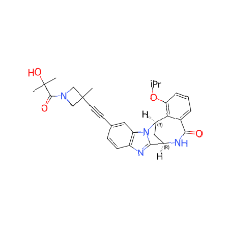 CC(C)Oc1cccc2c1[C@H]1C[C@@H](NC2=O)c2nc3ccc(C#CC4(C)CN(C(=O)C(C)(C)O)C4)cc3n21